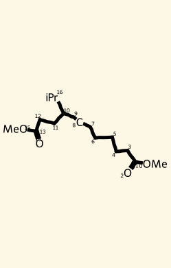 COC(=O)CCCCCCCC(CCC(=O)OC)C(C)C